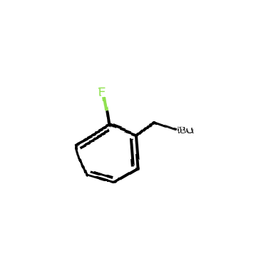 CCC(C)Cc1ccccc1F